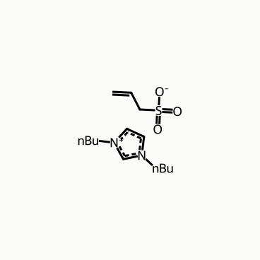 C=CCS(=O)(=O)[O-].CCCCn1cc[n+](CCCC)c1